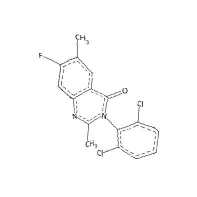 Cc1cc2c(=O)n(-c3c(Cl)cccc3Cl)c(C)nc2cc1F